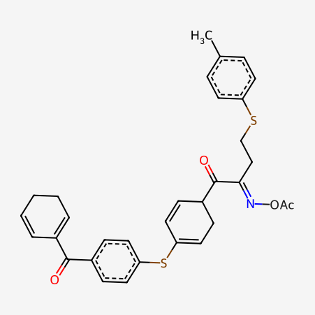 CC(=O)O/N=C(\CCSc1ccc(C)cc1)C(=O)C1C=CC(Sc2ccc(C(=O)C3=CCCC=C3)cc2)=CC1